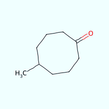 CC1CCCC(=O)CCC1